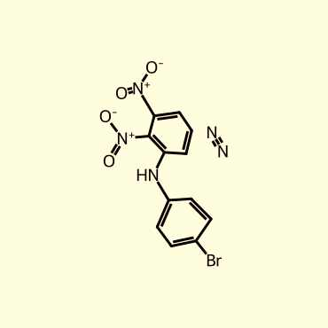 N#N.O=[N+]([O-])c1cccc(Nc2ccc(Br)cc2)c1[N+](=O)[O-]